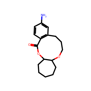 Nc1ccc2c(c1)CCCOC1CCCCCC1OC2=O